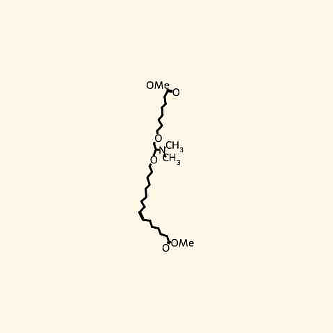 COC(=O)CCCCC/C=C\CCCCCCCCOCC(COCCCCCCCC(=O)OC)N(C)C